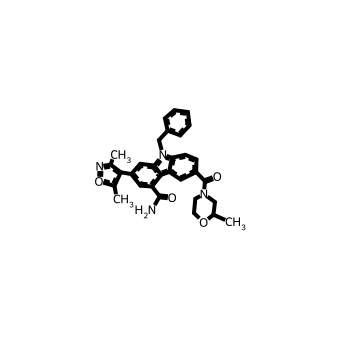 Cc1noc(C)c1-c1cc(C(N)=O)c2c3cc(C(=O)N4CCOC(C)C4)ccc3n(Cc3ccccc3)c2c1